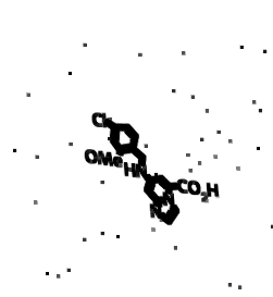 COc1cc(Cl)ccc1CNc1cc(C(=O)O)n2ccnc2c1